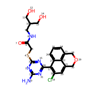 Nc1nc(SCC(=O)NCC(CO)CO)nc(-c2c(Cl)cc3c4c(cccc24)COC3)n1